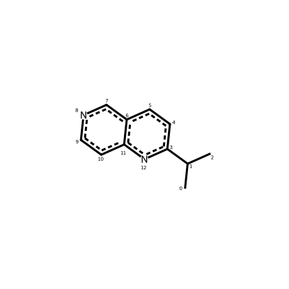 CC(C)c1ccc2cnccc2n1